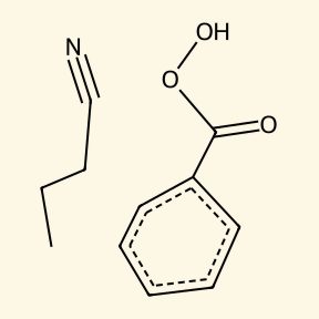 CCCC#N.O=C(OO)c1ccccc1